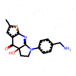 Cc1cc2c(s1)N=C1N(c3ccc(CN)cc3)CCC1(O)C2=O